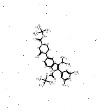 Cc1cc(-c2c(C(C)C)c3cc(C4CCN(C(=O)OC(C)(C)C)CC4=O)ccc3n2C(=O)OC(C)(C)C)cc(C)n1